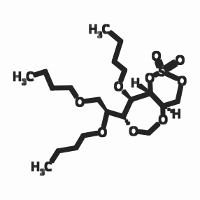 CCCCOC[C@H](OCCCC)[C@H]1OCO[C@@H]2COS(=O)(=O)O[C@H]2[C@@H]1OCCCC